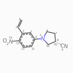 C=Cc1cc(N2CC[C@H](C#N)C2)ccc1[N+](=O)[O-]